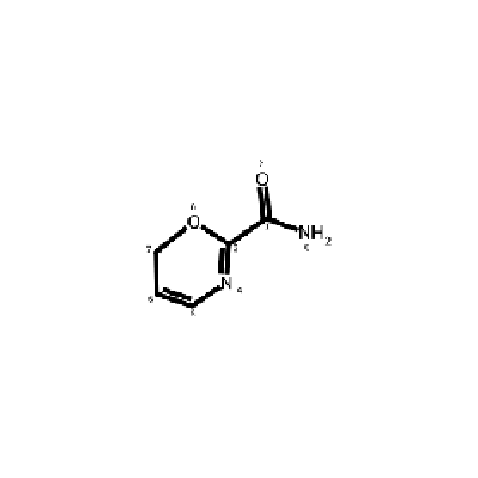 NC(=O)C1=NC=C[CH]O1